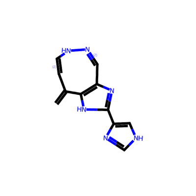 C=C1/C=C\N/N=C\c2nc(-c3c[nH]cn3)[nH]c21